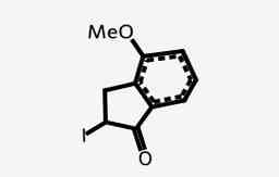 COc1cccc2c1CC(I)C2=O